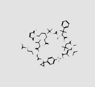 C/C(=C\[C@H](C(C)C)N(C)C(=O)[C@@H](NC(=O)[C@@H](N(C)C(=O)OC(C)(C)C)C(C)(C)c1ccccc1)C(C)(C)C)C(=O)NS(=O)(=O)c1ccc(C2(NC(=O)[C@H](CCCNC(N)=O)NC(=O)[C@@H](NC(=O)CCCCCN3C(=O)C=CC3=O)C(C)C)CC2)cc1